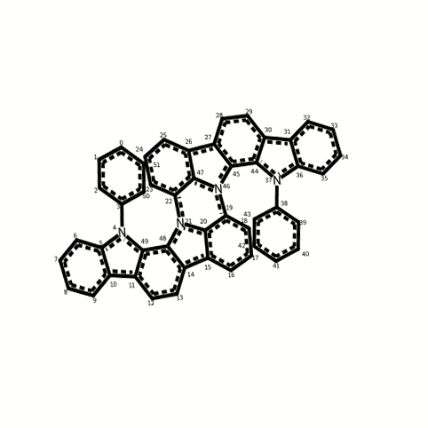 c1ccc(-n2c3ccccc3c3ccc4c5cccc6c5n(c5cccc7c8ccc9c%10ccccc%10n(-c%10ccccc%10)c9c8n6c75)c4c32)cc1